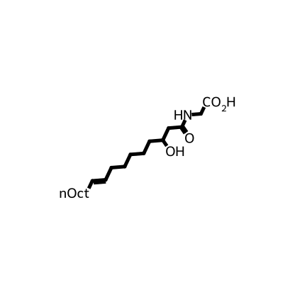 CCCCCCCCC=CCCCCCC(O)CC(=O)NCC(=O)O